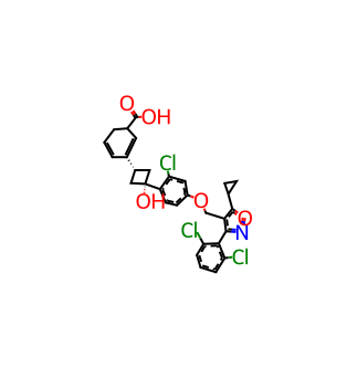 O=C(O)C1C=C([C@H]2C[C@](O)(c3ccc(OCc4c(-c5c(Cl)cccc5Cl)noc4C4CC4)cc3Cl)C2)C=CC1